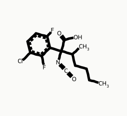 CCCCC(C)C(N=C=O)(C(=O)O)c1c(F)ccc(Cl)c1F